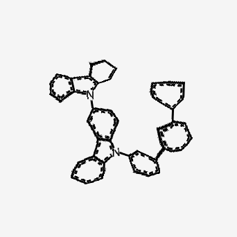 C1=Cc2c(c3ccccc3n2-c2ccc3c(c2)c2ccccc2n3-c2cccc(-c3cccc(-c4ccccc4)c3)c2)CC1